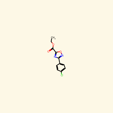 CCOC(=O)c1nc(-c2ccc(Cl)cc2)no1